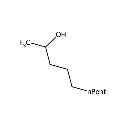 CCCCCCCCC(O)C(F)(F)F